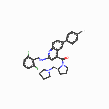 N#Cc1ccc(-c2ccc3nc(NCc4c(F)cccc4F)cc(C(=O)N4CCC[C@H]4CN4CCCC4)c3c2)cc1